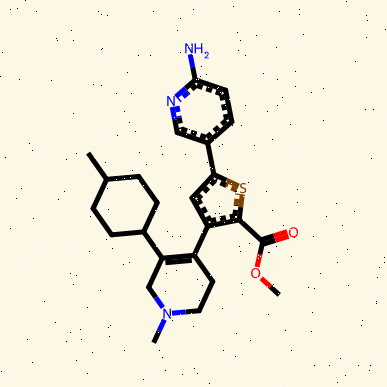 COC(=O)c1sc(-c2ccc(N)nc2)cc1C1=C(C2CCC(C)CC2)CN(C)CC1